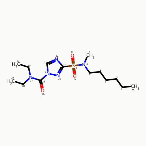 CCCCCCN(C)S(=O)(=O)c1ncn(C(=O)N(CC)CC)n1